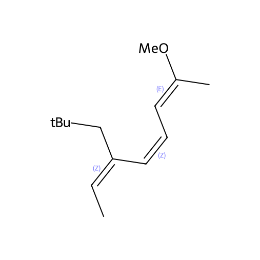 C\C=C(/C=C\C=C(/C)OC)CC(C)(C)C